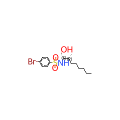 CCCCCC[C@@H](C)[C@@H](CO)NS(=O)(=O)c1ccc(Br)cc1